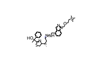 C[C@@H](C/C=N\NCc1cccc2c1cnn2COCC[Si](C)(C)C)C1CSC(C(C)(O)c2ccccc2)=N1